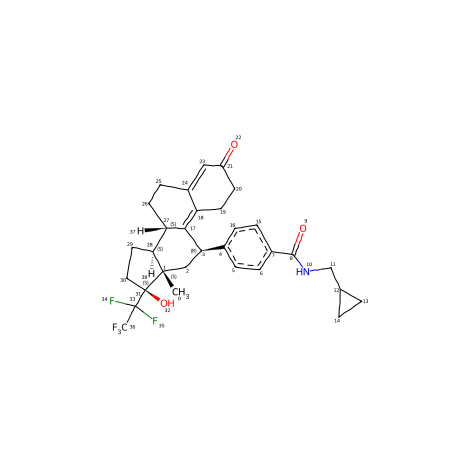 C[C@]12C[C@H](c3ccc(C(=O)NCC4CC4)cc3)C3=C4CCC(=O)C=C4CC[C@H]3[C@@H]1CC[C@@]2(O)C(F)(F)C(F)(F)F